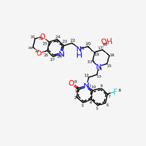 O=c1ccc2ccc(F)cc2n1CCN1CC[C@@H](O)[C@H](CNCc2cc3c(cn2)OCCO3)C1